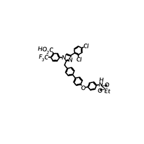 CCS(=O)(=O)Nc1ccc(Oc2ccc(-c3ccc(Cc4nc(-c5ccc(Cl)cc5Cl)cn4-c4ccc(C(F)(F)F)c(C(=O)O)c4)cc3)cc2)cc1